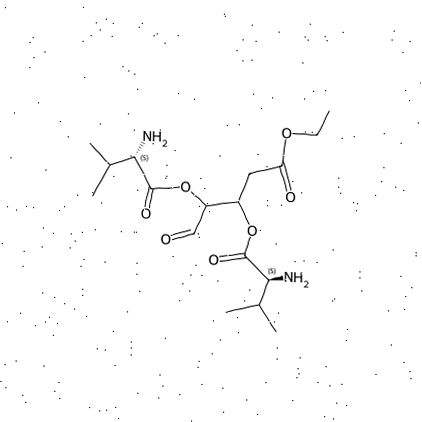 CCOC(=O)CC(OC(=O)[C@@H](N)C(C)C)C([C]=O)OC(=O)[C@@H](N)C(C)C